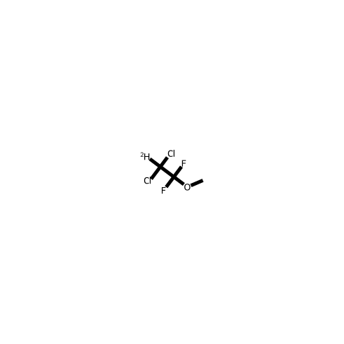 [2H]C(Cl)(Cl)C(F)(F)OC